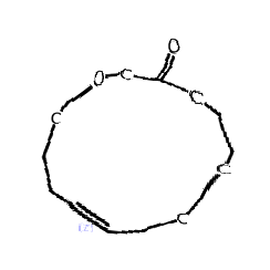 O=C1CCCCCCC/C=C\CCCCOC1